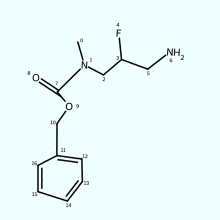 CN(CC(F)CN)C(=O)OCc1ccccc1